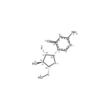 Nc1ncn([C@@H]2S[C@H](CO)[C@@H](O)[C@@H]2F)c(=O)n1